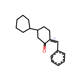 O=C1CC(C2CCCCC2)CC/C1=C/c1ccccc1